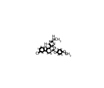 CNc1ncc(C2c3[nH]c4ccc(Cl)cc4c3CCN2C(=O)Oc2ccc(OC)cc2)cn1